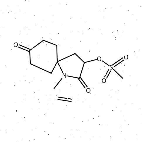 C=C.CN1C(=O)C(OS(C)(=O)=O)CC12CCC(=O)CC2